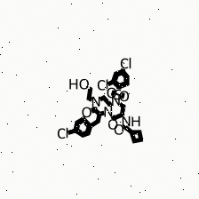 O=C(NC1CN(S(=O)(=O)c2ccc(Cl)cc2Cl)C2CN(CCO)C(=O)C(Cc3ccc(Cl)cc3)N2C1=O)C1CCC1